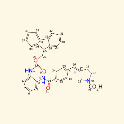 O=C(Nc1ccccc1NC(=O)c1ccc(/C=C2/CCN(C(=O)O)C2)cc1)OCC1c2ccccc2-c2ccccc21